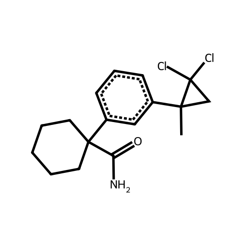 CC1(c2cccc(C3(C(N)=O)CCCCC3)c2)CC1(Cl)Cl